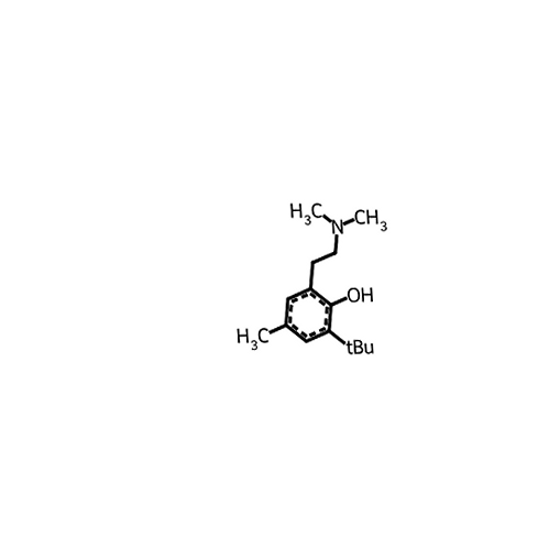 Cc1cc(CCN(C)C)c(O)c(C(C)(C)C)c1